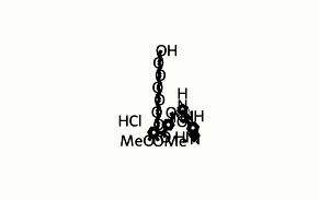 COc1ccc(OCCOCCOCCOCCOCCOCCO)c(C(=O)c2ccc(C(=O)N[C@@H]3CNC[C@H]3NC(=O)c3ccc4cn[nH]c4c3)cc2)c1OC.Cl